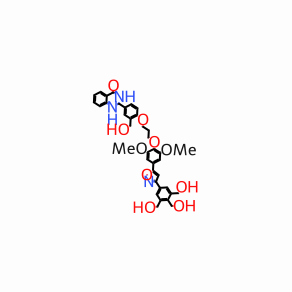 COc1cc(-c2cc(-c3cc(CO)c(CO)c(CO)c3)no2)cc(OC)c1OCCCOc1ccc(C2NC(=O)c3ccccc3N2)cc1CO